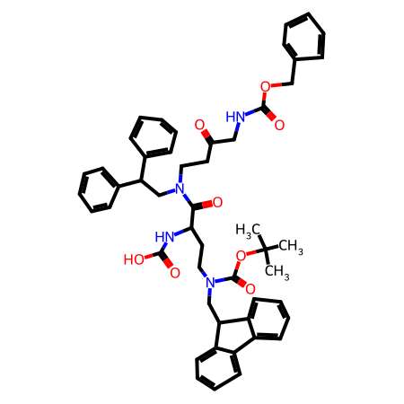 CC(C)(C)OC(=O)N(CCC(NC(=O)O)C(=O)N(CCC(=O)CNC(=O)OCc1ccccc1)CC(c1ccccc1)c1ccccc1)CC1c2ccccc2-c2ccccc21